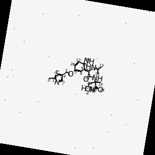 Cc1ncc(COC2=C/C(=C(/NC(C)C)C(=O)NC(C)(CO)C(N)=O)C(=N)C=C2)s1